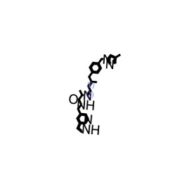 C/C(=C\C=N/C(C)C(=O)NCc1cnc2[nH]ccc2c1)Cc1ccc(Cn2cc(C)cn2)cc1